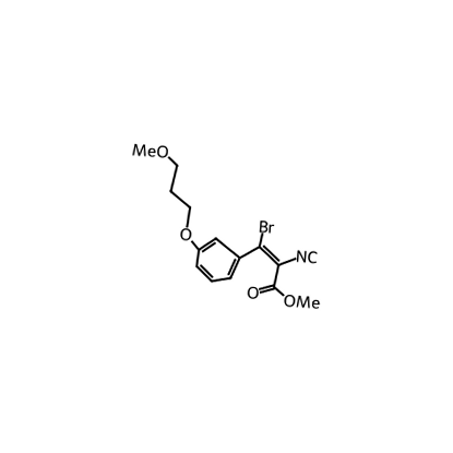 [C-]#[N+]/C(C(=O)OC)=C(\Br)c1cccc(OCCCOC)c1